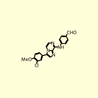 COc1ccc(-c2cnc3c(Nc4ccc(C=O)cc4)nccn23)cc1Cl